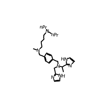 CCCN(CCC)CCCCN(C)Cc1ccc(CN(Cc2ncc[nH]2)C(C)c2ncc[nH]2)cc1